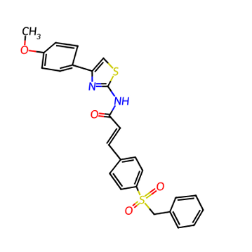 COc1ccc(-c2csc(NC(=O)C=Cc3ccc(S(=O)(=O)Cc4ccccc4)cc3)n2)cc1